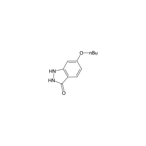 CCCCOc1ccc2c(=O)[nH][nH]c2c1